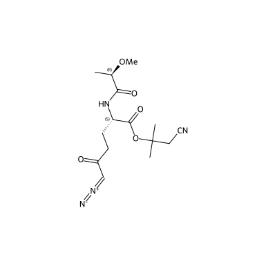 CO[C@H](C)C(=O)N[C@@H](CCC(=O)C=[N+]=[N-])C(=O)OC(C)(C)CC#N